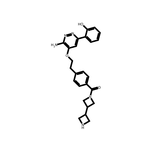 Nc1nnc(-c2ccccc2O)cc1OCCc1ccc(C(=O)N2CC(C3CNC3)C2)cc1